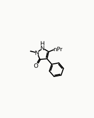 CCCc1[nH]n(C)c(=O)c1-c1ccccc1